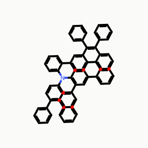 c1ccc(-c2ccc(N(c3ccc(-c4ccccc4)c(-c4ccccc4)c3)c3ccccc3-c3ccc4c(c3)c(-c3ccccc3)c(-c3ccccc3)c3ccccc34)c(-c3ccccc3)c2)cc1